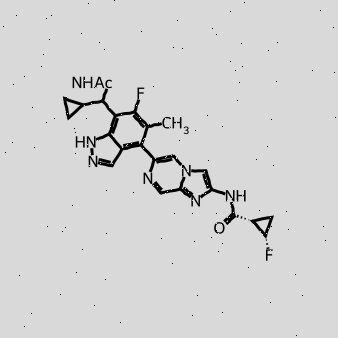 CC(=O)NC(c1c(F)c(C)c(-c2cn3cc(NC(=O)[C@@H]4C[C@@H]4F)nc3cn2)c2cn[nH]c12)C1CC1